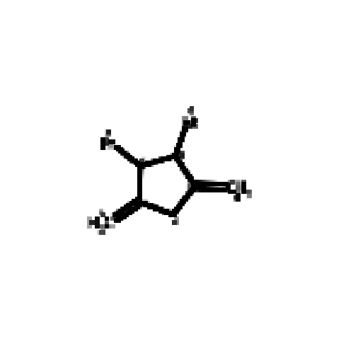 C=C1CC(=C)C(CC)C1CC